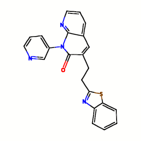 O=c1c(CCc2nc3ccccc3s2)cc2cccnc2n1-c1cccnc1